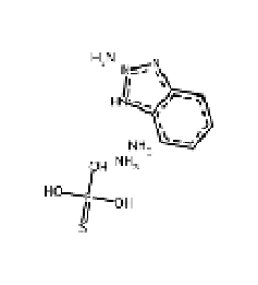 N.N.N.OP(O)(O)=S.c1ccc2[nH]nnc2c1